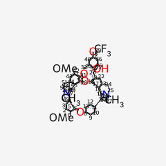 COc1ccc2cc1Oc1ccc(cc1)C[C@H]1c3cc(c(CO)cc3CCN1C)Oc1c(OCc3cccc(OC(F)(F)F)c3)c(OC)cc3c1[C@H](C2)N(C)CC3